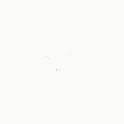 CC#N.[O]=[Mn]=[O]